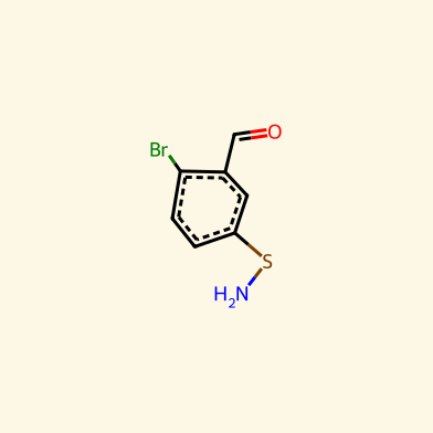 NSc1ccc(Br)c(C=O)c1